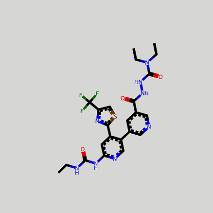 CCNC(=O)Nc1cc(-c2nc(C(F)(F)F)cs2)c(-c2cncc(C(=O)NNC(=O)N(CC)CC)c2)cn1